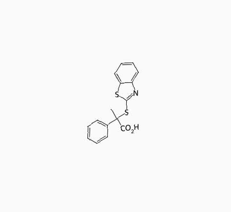 CC(Sc1nc2ccccc2s1)(C(=O)O)c1ccccc1